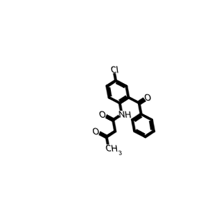 CC(=O)CC(=O)Nc1ccc(Cl)cc1C(=O)c1ccccc1